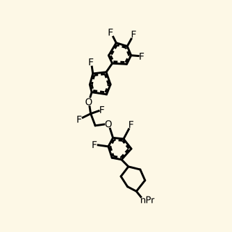 CCCC1CCC(c2cc(F)c(OCC(F)(F)Oc3ccc(-c4cc(F)c(F)c(F)c4)c(F)c3)c(F)c2)CC1